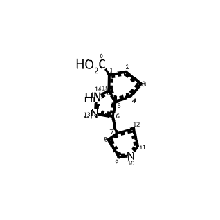 O=C(O)c1cccc2c(-c3ccncc3)n[nH]c12